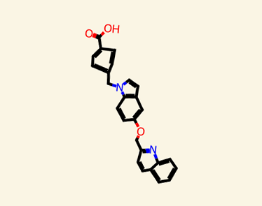 O=C(O)c1ccc(Cn2ccc3cc(OCc4ccc5ccccc5n4)ccc32)cc1